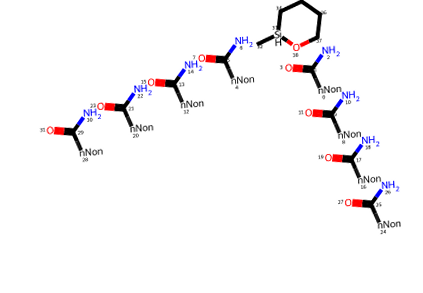 CCCCCCCCCC(N)=O.CCCCCCCCCC(N)=O.CCCCCCCCCC(N)=O.CCCCCCCCCC(N)=O.CCCCCCCCCC(N)=O.CCCCCCCCCC(N)=O.CCCCCCCCCC(N)=O.CCCCCCCCCC(N)=O.C[SiH]1CCCCO1